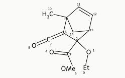 CCOC1(C(=O)OC)C(=C=O)C2(C)C=CC1C2